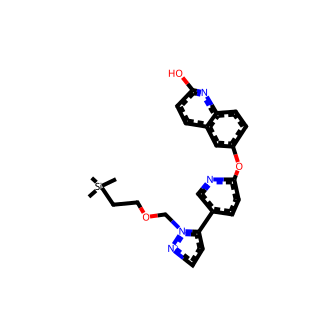 C[Si](C)(C)CCOCn1nccc1-c1ccc(Oc2ccc3nc(O)ccc3c2)nc1